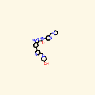 O=C(Nc1ccnc(CN2CCCC2)c1)c1n[nH]c2ccc(-c3cncc(CN4CCC(O)CC4)c3)cc12